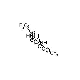 O=C(CCCOC(F)(F)F)NNC(=O)[C@@H]1CC[C@@H](NC(=O)COc2ccc(C(F)(F)F)cc2)CO1